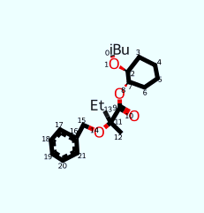 CCC(C)O[C@H]1CCCC[C@@H]1OC(=O)C(C)(CC)OCc1ccccc1